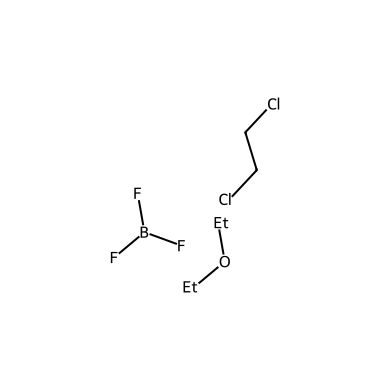 CCOCC.ClCCCl.FB(F)F